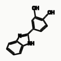 Oc1ccc(-c2nc3ccccc3[nH]2)cc1O